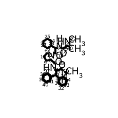 CNC(=O)[C@@H](NC(=O)C1CCCN1C(=O)C(NC(=O)[C@H](C)NC)C1CCCCC1)C(c1ccccc1)c1ccccc1